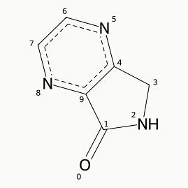 O=C1NCc2nccnc21